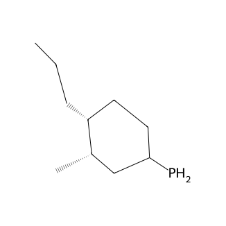 CCC[C@@H]1CCC(P)C[C@@H]1C